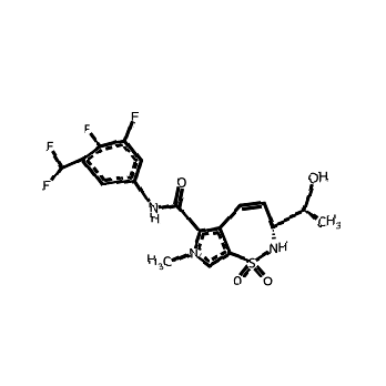 C[C@H](O)[C@H]1C=Cc2c(cn(C)c2C(=O)Nc2cc(F)c(F)c(C(F)F)c2)S(=O)(=O)N1